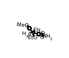 CCC(=O)c1c(-c2ccc(S(N)(=O)=O)cc2)c(C)c(-c2ccc(OC)cc2)n1C